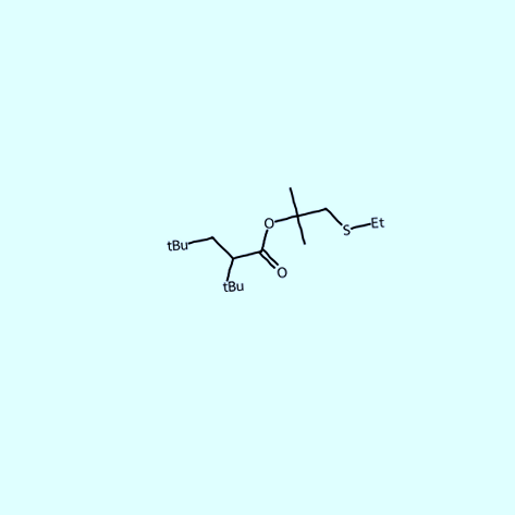 CCSCC(C)(C)OC(=O)C(CC(C)(C)C)C(C)(C)C